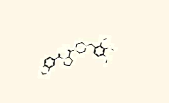 COc1ccc(CN2CCN(C(=O)C3CCCN3C(=O)c3ccc4c(c3)OCO4)CC2)c(OC)c1OC